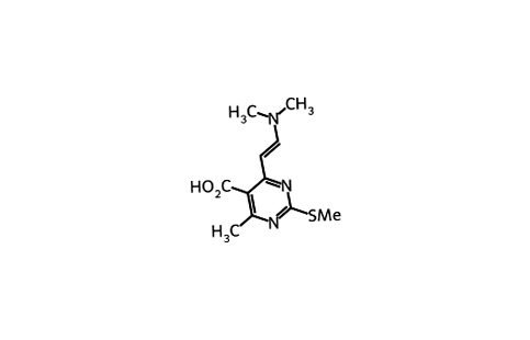 CSc1nc(C)c(C(=O)O)c(C=CN(C)C)n1